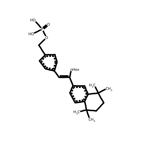 CCCCCCC(=Cc1ccc(COP(=O)(O)O)cc1)c1ccc2c(c1)C(C)(C)CCC2(C)C